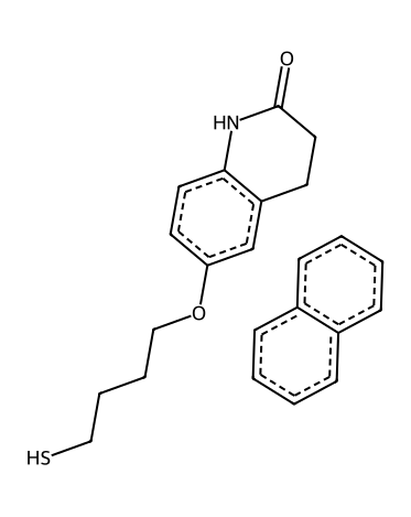 O=C1CCc2cc(OCCCCS)ccc2N1.c1ccc2ccccc2c1